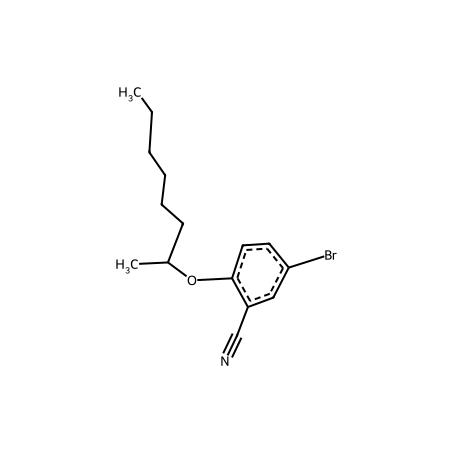 CCCCCCC(C)Oc1ccc(Br)cc1C#N